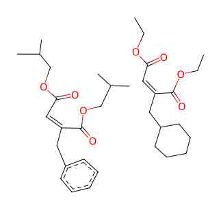 CC(C)COC(=O)C=C(Cc1ccccc1)C(=O)OCC(C)C.CCOC(=O)C=C(CC1CCCCC1)C(=O)OCC